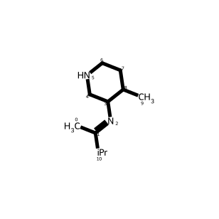 C/C(=N\C1CNCCC1C)C(C)C